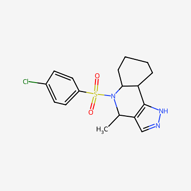 CC1c2cn[nH]c2C2CCCCC2N1S(=O)(=O)c1ccc(Cl)cc1